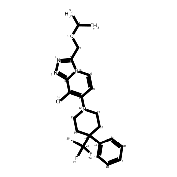 CC(C)OCc1nnc2c(Cl)c(N3CCC(c4ccccc4)(C(F)(F)F)CC3)ccn12